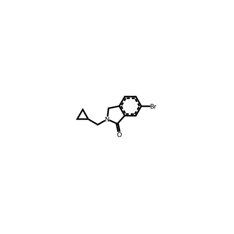 O=C1c2cc(Br)ccc2CN1CC1CC1